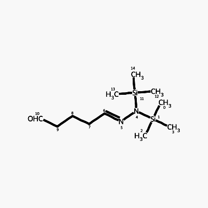 C[Si](C)(C)N(/N=C/CCCC=O)[Si](C)(C)C